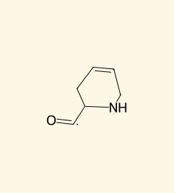 O=[C]C1CC=CCN1